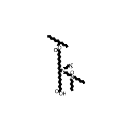 CCCCCCC(CCCC)COC(=O)CCCCCCCCC(CCCCCCCCC(=O)O)N(CCCC(=O)N(CCCCCC)CCCCCC)CCCN(C)C